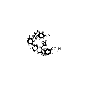 N#Cc1ccc(S(=O)(=O)Nc2cccc(N3CCN(Cc4nc5ccc(C(=O)O)cc5n4C[C@@H]4CCO4)CC3)n2)c(F)c1